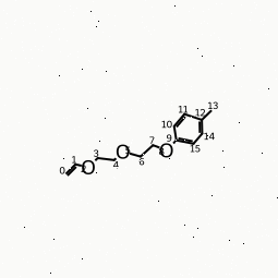 C=COCCOCCOc1ccc(C)cc1